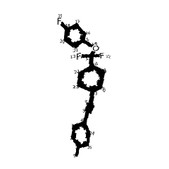 Cc1ccc(C#Cc2ccc(C(F)(F)Oc3ccc(F)cc3)cc2)cc1